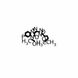 CC(CO)n1c(=O)c2c(-c3noc(C4CCC(C)(C)O4)n3)ncn2c2ccc(F)cc21